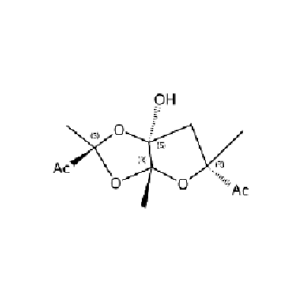 CC(=O)[C@]1(C)O[C@@]2(C)O[C@@](C)(C(C)=O)C[C@]2(O)O1